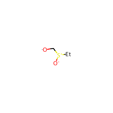 CC[S+]([O-])C[O]